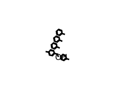 Cc1ccc(CO)cc1.Cc1ccccc1.Cc1ccccc1.Cc1ccccc1.Cc1ccccc1